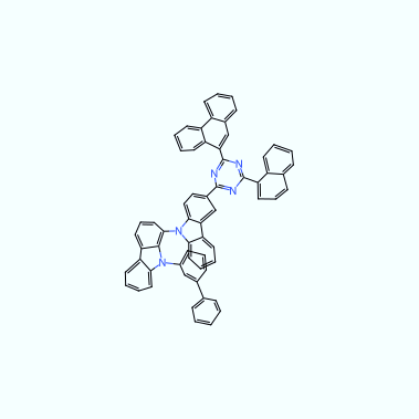 c1ccc(-c2cccc(-n3c4ccccc4c4cccc(-n5c6ccccc6c6cc(-c7nc(-c8cccc9ccccc89)nc(-c8cc9ccccc9c9ccccc89)n7)ccc65)c43)c2)cc1